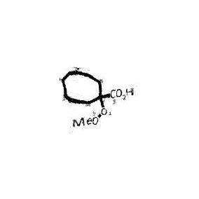 COOC1(C(=O)O)CCCCC1